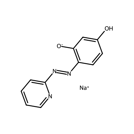 [Na+].[O-]c1cc(O)ccc1N=Nc1ccccn1